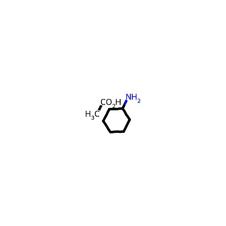 CC(=O)O.NC1CCCCC1